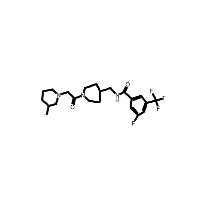 CC1CCCN(CC(=O)N2CCC(CNC(=O)c3cc(F)cc(C(F)(F)F)c3)CC2)C1